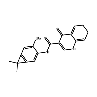 C=C(Nc1cc2c(cc1C(C)(C)C)C2(C)C)C1=CNC2=CCCC=C2C1=C